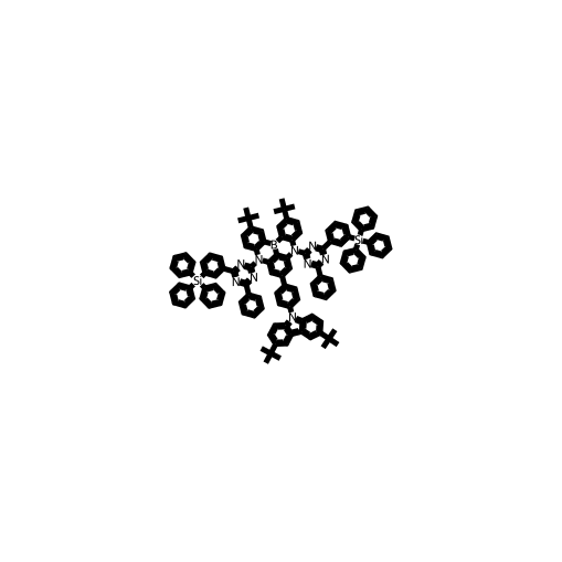 CC(C)(C)c1ccc2c(c1)B1c3cc(C(C)(C)C)ccc3N(c3nc(-c4ccccc4)nc(-c4cccc([Si](c5ccccc5)(c5ccccc5)c5ccccc5)c4)n3)c3cc(-c4ccc(-n5c6ccc(C(C)(C)C)cc6c6cc(C(C)(C)C)ccc65)cc4)cc(c31)N2c1nc(-c2ccccc2)nc(-c2cccc([Si](c3ccccc3)(c3ccccc3)c3ccccc3)c2)n1